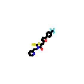 O=C1/C(=C/c2ccc(-c3ccc(C(F)(F)F)cc3)o2)SC(S)N1CCc1ccccn1